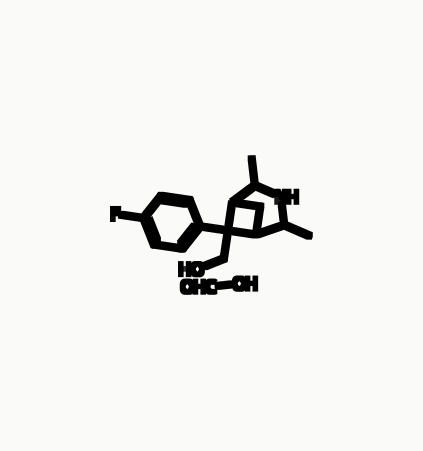 CC1NC(C)C2CC1C2(CO)c1ccc(F)cc1.O=CO